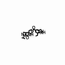 CCc1cc(C(=O)N2CCC3(CC2)Cc2cnn(C(C)C)c2C(=O)N3)cc2cn[nH]c12